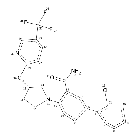 NC(=O)c1cc(-c2ccccc2Cl)ccc1N1CC[C@H](Oc2ccc(C(F)(F)F)cn2)C1